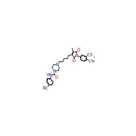 CC1=C(CCCCCN2CCN(C(=O)Nc3ccc(C#N)cc3)CC2)C(=O)N(c2ccc(C#N)c(C(F)(F)F)c2)C1=O